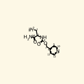 CC(C)CC(NC(=O)OCc1ccncc1)C(N)=O